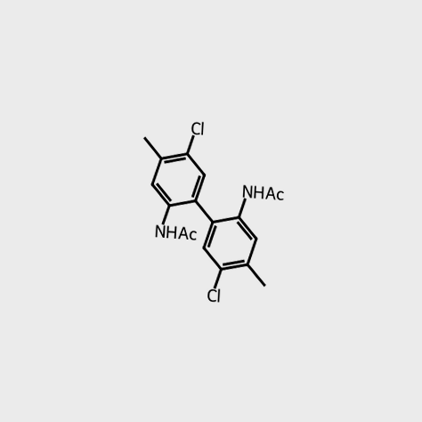 CC(=O)Nc1cc(C)c(Cl)cc1-c1cc(Cl)c(C)cc1NC(C)=O